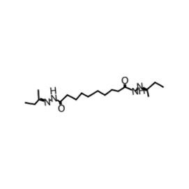 CC/C(C)=N/NC(=O)CCCCCCCCC(=O)N/N=C(\C)CC